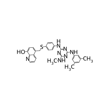 CNc1nc(Nc2ccc(SCc3ccc(O)c4ncccc34)cc2)nc(Nc2cc(C)cc(C)c2)n1